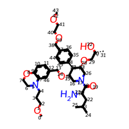 COCCCN1CCOc2ccc(CO[C@H]3CN(C(=O)[C@@H](N)CC(C)C)C[C@@H](OC[C@@H](C)O)[C@@H]3c3ccc(COCCOC)cc3)cc21